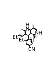 CC/C=C/C1=C(C)NC2=C(/C(=C\CC)NC=C2C)C1c1ccc(C#N)cc1CC